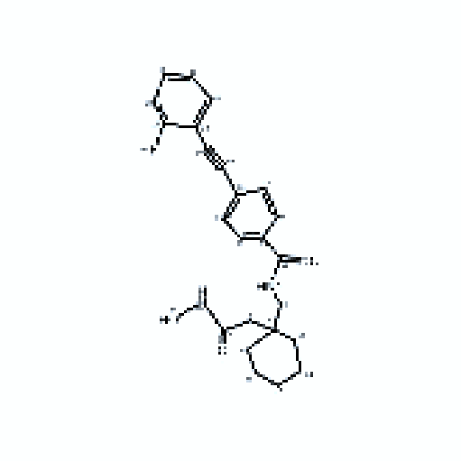 O=C(CC1(CNC(=O)c2ccc(C#Cc3ccccc3F)cc2)CCCCC1)NO